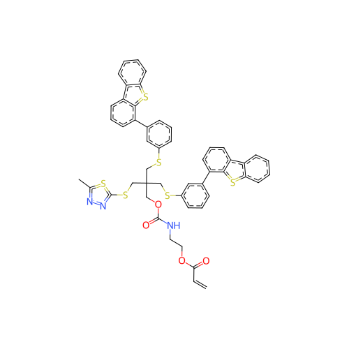 C=CC(=O)OCCNC(=O)OCC(CSc1cccc(-c2cccc3c2sc2ccccc23)c1)(CSc1cccc(-c2cccc3c2sc2ccccc23)c1)CSc1nnc(C)s1